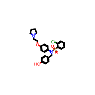 O=S(=O)(c1ccccc1Cl)N(Cc1ccc(O)cc1)c1ccc(OCCN2CCCC2)cc1